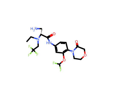 CCN(CC(F)(F)F)[C@H](CN)C(=O)Nc1ccc(N2CCOCC2=O)c(OC(F)F)c1